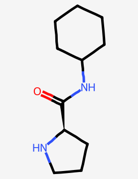 O=C(NC1CCCCC1)[C@H]1CCCN1